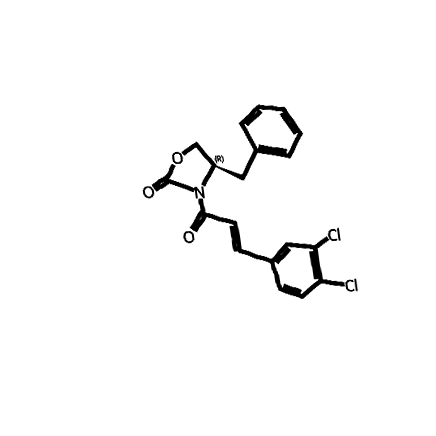 O=C(C=Cc1ccc(Cl)c(Cl)c1)N1C(=O)OC[C@H]1Cc1ccccc1